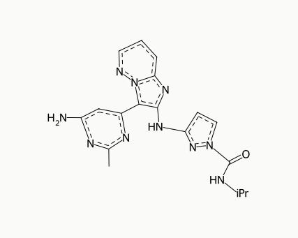 Cc1nc(N)cc(-c2c(Nc3ccn(C(=O)NC(C)C)n3)nc3cccnn23)n1